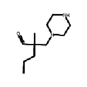 CCCC(C)(C=O)CN1CCNCC1